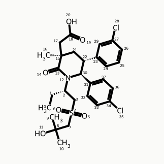 CC[C@@H](CS(=O)(=O)CC(C)(C)O)N1C(=O)[C@@](C)(CC(=O)O)C[C@H](c2cccc(Cl)c2)[C@H]1c1ccc(Cl)cc1